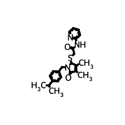 CC1=C(C)C(SCC(=O)Nc2ccccn2)N(Cc2ccc(C(C)C)cc2)C1=O